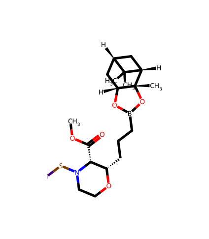 COC(=O)[C@@H]1[C@H](CCCB2O[C@@H]3C[C@@H]4C[C@@H](C4(C)C)[C@]3(C)O2)OCCN1SI